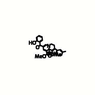 COC(=O)C1=CC(C(=O)c2ccccc2O)=CN2CCc3c([nH]c4ccc(C)cc34)C12C(=O)OC